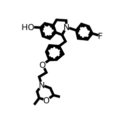 CC1CN(CCOc2ccc(CC3c4ccc(O)cc4CCN3c3ccc(F)cc3)cc2)CC(C)O1